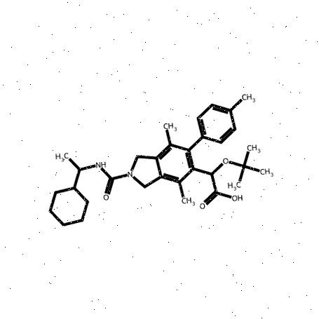 Cc1ccc(-c2c(C)c3c(c(C)c2C(OC(C)(C)C)C(=O)O)CN(C(=O)NC(C)C2CCCCC2)C3)cc1